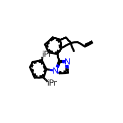 C=CCC1(C)Cc2cccc(-c3nccn3-c3c(C(C)C)cccc3C(C)C)c21